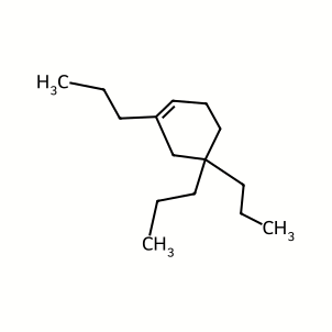 CCCC1=CCCC(CCC)(CCC)C1